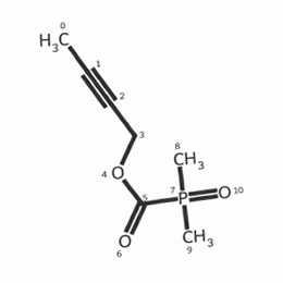 CC#CCOC(=O)P(C)(C)=O